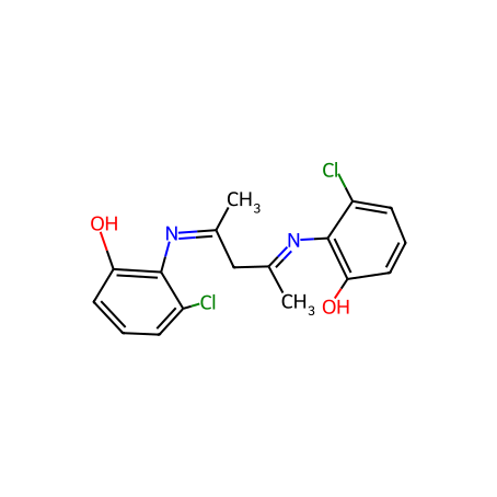 CC(CC(C)=Nc1c(O)cccc1Cl)=Nc1c(O)cccc1Cl